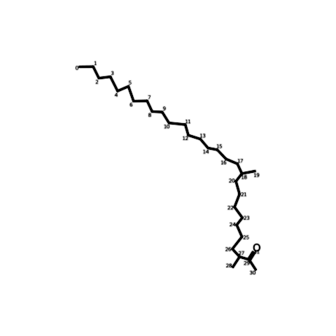 CCCCCCCCCCCCCCCCCCC(C)CCCCCCCC(C)C(C)=O